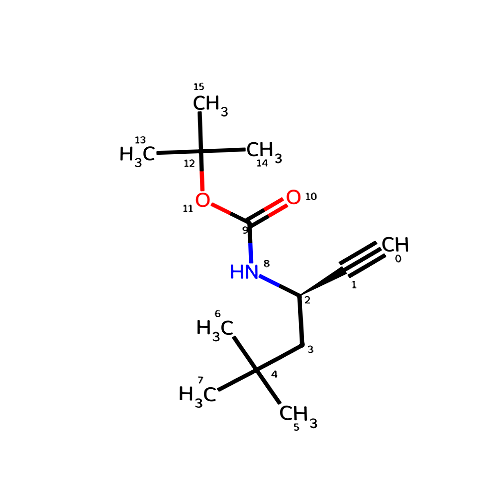 C#C[C@@H](CC(C)(C)C)NC(=O)OC(C)(C)C